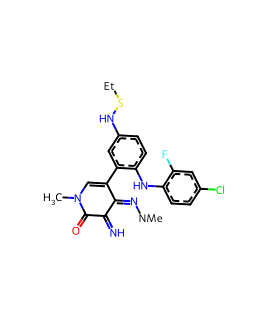 CCSNc1ccc(Nc2ccc(Cl)cc2F)c(C2=CN(C)C(=O)C(=N)/C2=N\NC)c1